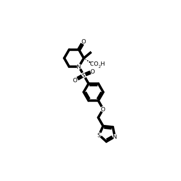 C[C@]1(C(=O)O)C(=O)CCCN1S(=O)(=O)c1ccc(OCc2cncs2)cc1